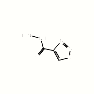 NNC(=O)c1csnn1